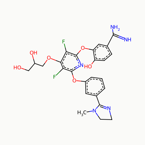 CN1CCN=C1c1cccc(Oc2nc(Oc3cc(C(=N)N)ccc3O)c(F)c(OCC(O)CO)c2F)c1